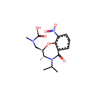 CC(C)N1C(=O)c2cccc([N+](=O)[O-])c2O[C@H](CN(C)C(=O)O)[C@H]1C